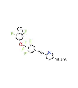 CCCCCc1ccc(C#Cc2cc(F)c(C(F)(F)Oc3cc(F)c(C(F)(F)F)c(F)c3)c(F)c2)nc1